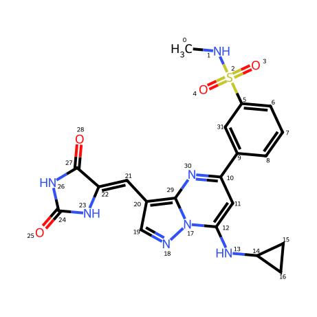 CNS(=O)(=O)c1cccc(-c2cc(NC3CC3)n3ncc(C=C4NC(=O)NC4=O)c3n2)c1